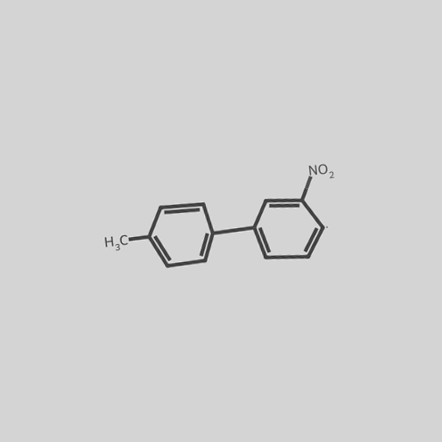 Cc1ccc(-c2cc[c]c([N+](=O)[O-])c2)cc1